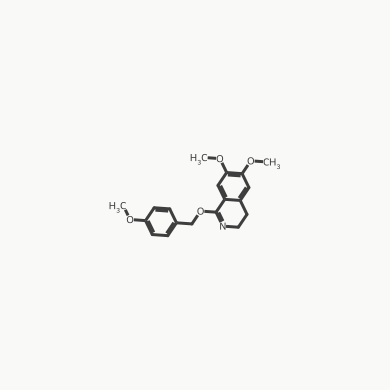 COc1ccc(COC2=NCCc3cc(OC)c(OC)cc32)cc1